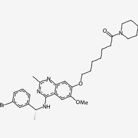 COc1cc2c(N[C@H](C)c3cccc(Br)c3)nc(C)nc2cc1OCCCCCCC(=O)N1CCCCC1